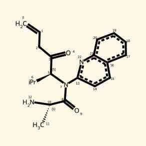 C=C[CH]C(=O)[C@H](C(C)C)N(C(=O)[C@H](C)N)c1ccc2ccccc2n1